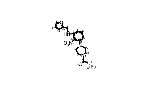 CC(C)(C)OC(=O)N1CCN(c2cccc(NCc3ccco3)c2[N+](=O)[O-])CC1